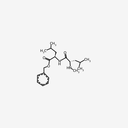 CN[C@@H](CC(C)C)C(=O)N[C@H](CC(C)C)C(=O)OCc1ccccc1